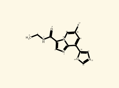 CCNC(=O)c1cnc2c(-c3cnco3)cc(F)cn12